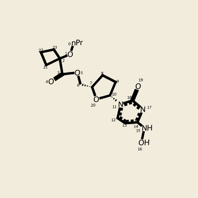 CCCOC1(C(=O)OC[C@@H]2CC[C@H](n3ccc(NO)nc3=O)O2)CCC1